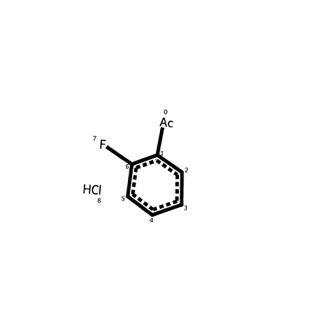 CC(=O)c1ccccc1F.Cl